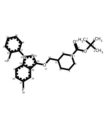 CC(C)(C)OC(=O)N1CCCC(COc2nn(-c3ccccc3F)c3ccc(F)cc23)C1